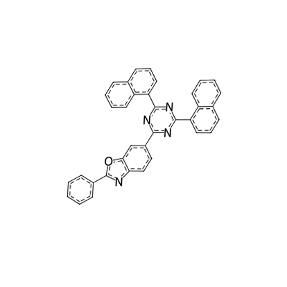 c1ccc(-c2nc3ccc(-c4nc(-c5cccc6ccccc56)nc(-c5cccc6ccccc56)n4)cc3o2)cc1